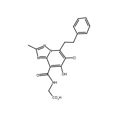 Cc1nc2c(C(=O)NCC(=O)O)c(O)c(Cl)c(CCc3ccccc3)n2n1